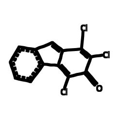 O=C1C(Cl)=C(Cl)C2=Cc3ccccc3C2=C1Cl